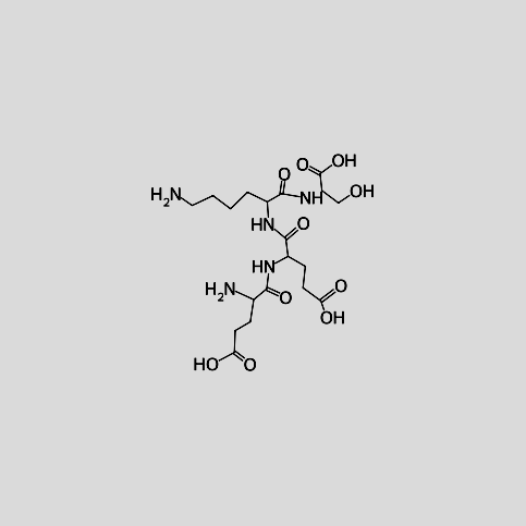 NCCCCC(NC(=O)C(CCC(=O)O)NC(=O)C(N)CCC(=O)O)C(=O)NC(CO)C(=O)O